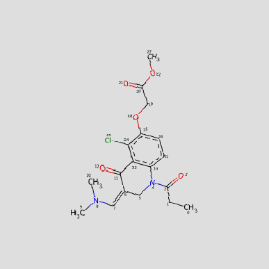 CCC(=O)N1CC(=CN(C)C)C(=O)c2c1ccc(OCC(=O)OC)c2Cl